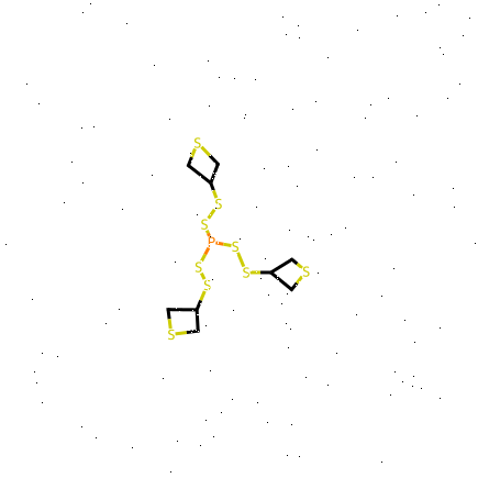 C1SCC1SSP(SSC1CSC1)SSC1CSC1